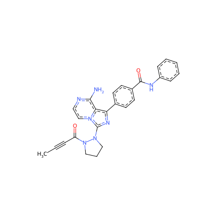 CC#CC(=O)N1CCCN1c1nc(-c2ccc(C(=O)Nc3ccccc3)cc2)c2c(N)nccn12